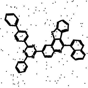 c1ccc(-c2ccc(-c3nc(-c4ccccc4)nc(-c4ccc5nc(-c6cccc7ccccc67)c6c7ccccc7sc6c5c4)n3)cc2)cc1